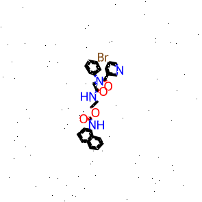 O=C(CN(C(=O)c1cncc(Br)c1)c1ccccc1)NCCOC(=O)Nc1cccc2ccccc12